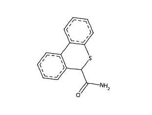 NC(=O)C1Sc2ccccc2-c2ccccc21